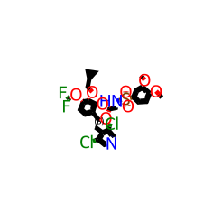 COc1ccc(S(=O)(=O)NCC(=O)O[C@@H](Cc2c(Cl)cncc2Cl)c2ccc(OC(F)F)c(OCC3CC3)c2)cc1OC